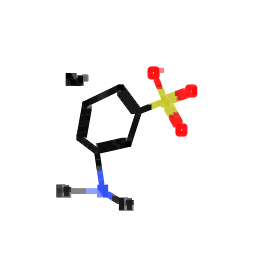 CCN(CC)c1cccc(S(=O)(=O)[O-])c1.[Na+]